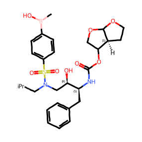 CB(O)c1ccc(S(=O)(=O)N(CC(C)C)C[C@@H](O)[C@H](Cc2ccccc2)NC(=O)OC2COC3OCC[C@@H]23)cc1